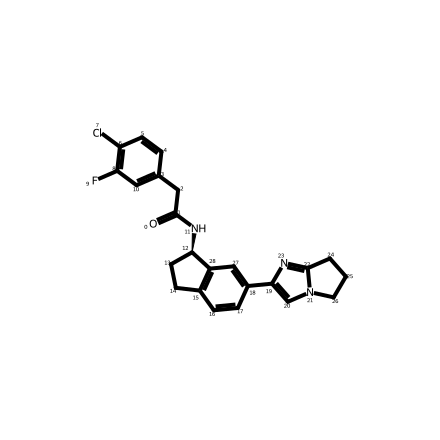 O=C(Cc1ccc(Cl)c(F)c1)N[C@@H]1CCc2ccc(-c3cn4c(n3)CCC4)cc21